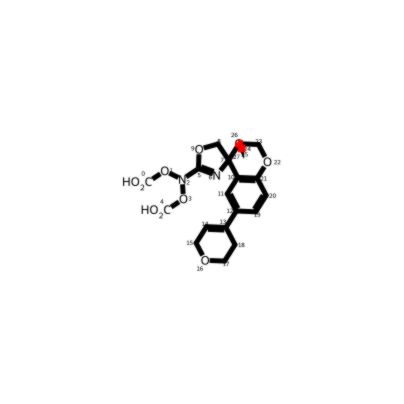 O=C(O)ON(OC(=O)O)C1=NC2(CO1)c1cc(C3=CCOCC3)ccc1OCC21COC1